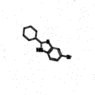 Brc1ccc2c(c1)SC(C1CCCCC1)N2